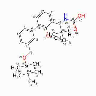 COc1c(-c2cccc(CO[Si](C)(C)C(C)(C)C)c2)cccc1C(NC(=O)O)C(C)(C)C